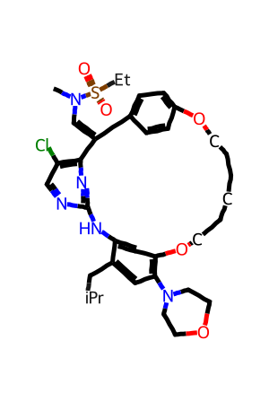 CCS(=O)(=O)N(C)/C=C1\c2ccc(cc2)OCCCCCCOc2cc(c(CC(C)C)cc2N2CCOCC2)Nc2ncc(Cl)c1n2